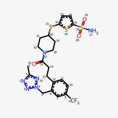 Cc1nnn(Cc2cc(C(F)(F)F)ccc2CCC(=O)N2CCC(Sc3ccc(S(N)(=O)=O)s3)CC2)n1